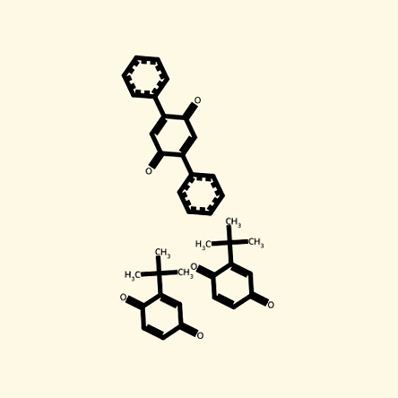 CC(C)(C)C1=CC(=O)C=CC1=O.CC(C)(C)C1=CC(=O)C=CC1=O.O=C1C=C(c2ccccc2)C(=O)C=C1c1ccccc1